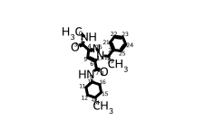 CNC(=O)c1cc(C(=O)N[C@H]2CC[C@@H](C)CC2)n([C@@H](C)c2ccccc2)n1